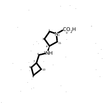 O=C(O)N1CC[C@H](NCC2CCC2)C1